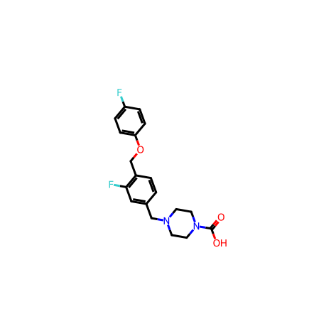 O=C(O)N1CCN(Cc2ccc(COc3ccc(F)cc3)c(F)c2)CC1